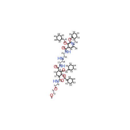 COCCOCCNC(=O)c1ccc(C(=O)NCCNCCNC(=O)c2cc(C)n(Cc3ccccc3)c(=O)c2OCc2ccccc2)c(OCc2ccccc2)c1OCc1ccccc1